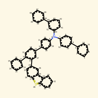 c1ccc(-c2ccc(N(c3ccc(-c4ccc(-c5ccccc5)c(-c5ccc6sc7ccccc7c6c5)c4)cc3)c3cccc(-c4ccccc4)c3)cc2)cc1